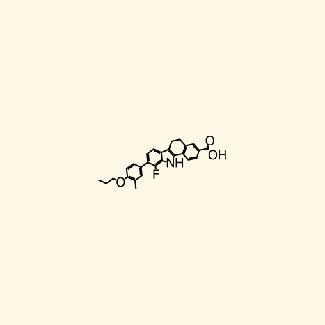 CCCOc1ccc(-c2ccc3c4c([nH]c3c2F)-c2ccc(C(=O)O)cc2CC4)cc1C